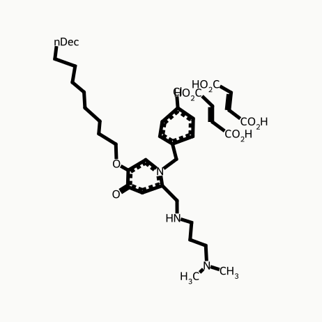 CCCCCCCCCCCCCCCCCCOc1cn(Cc2ccc(Cl)cc2)c(CNCCCN(C)C)cc1=O.O=C(O)/C=C/C(=O)O.O=C(O)/C=C/C(=O)O